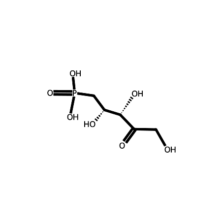 O=C(CO)[C@@H](O)[C@H](O)CP(=O)(O)O